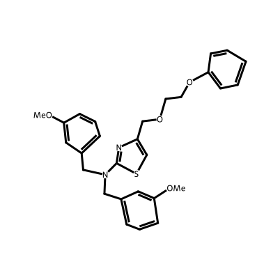 COc1cccc(CN(Cc2cccc(OC)c2)c2nc(COCCOc3ccccc3)cs2)c1